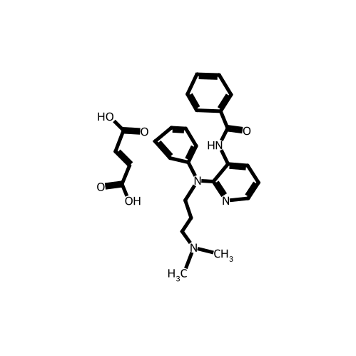 CN(C)CCCN(c1ccccc1)c1ncccc1NC(=O)c1ccccc1.O=C(O)C=CC(=O)O